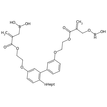 C=C(COBO)C(=O)OCCOc1cccc(-c2cc(OCCOC(=O)C(=C)CB(O)O)ccc2CCCCCCC)c1